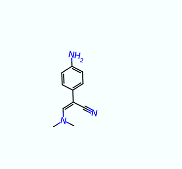 CN(C)C=C(C#N)c1ccc(N)cc1